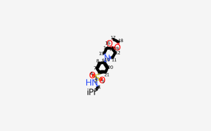 CC(C)CNS(=O)(=O)c1ccc(N2CCC3(CC2)OCCO3)cc1